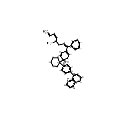 C=C/C=C\C(C)C/C=C(\C1=CCC(C)(C2(c3ccc(-c4cccc5cccnc45)cc3)CCCCC2)C=C1)c1ccccc1